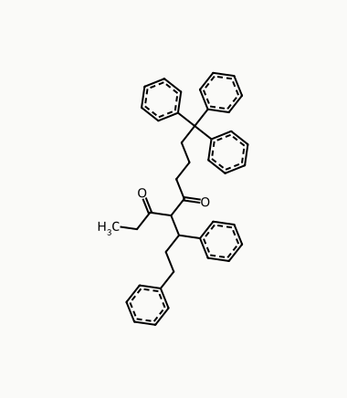 CCC(=O)C(C(=O)CCCC(c1ccccc1)(c1ccccc1)c1ccccc1)C(CCc1ccccc1)c1ccccc1